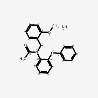 COc1ccccc1CN(C(C)=O)c1ccccc1Oc1ccccc1.N